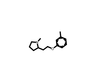 Cc1cccc(OCCC2CCCN2C)c1